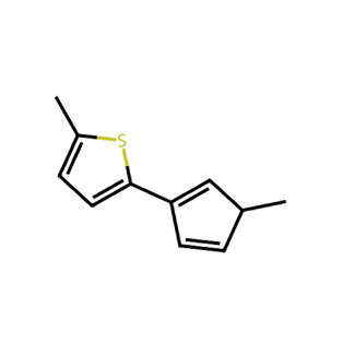 Cc1ccc(C2=CC(C)C=C2)s1